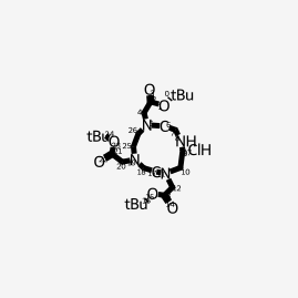 CC(C)(C)OC(=O)CN1CCNCCN(CC(=O)OC(C)(C)C)CCN(CC(=O)OC(C)(C)C)CC1.Cl